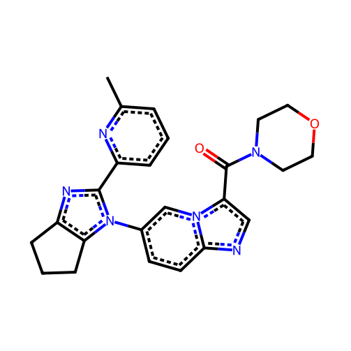 Cc1cccc(-c2nc3c(n2-c2ccc4ncc(C(=O)N5CCOCC5)n4c2)CCC3)n1